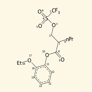 CCCC(COS(=O)(=O)C(F)(F)F)C(=O)Oc1ccccc1OCC